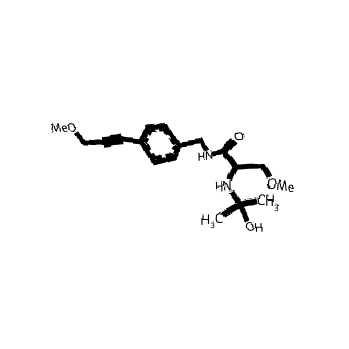 COCC#Cc1ccc(CNC(=O)C(COC)NC(C)(C)O)cc1